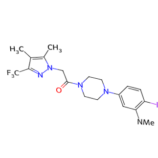 CNc1cc(N2CCN(C(=O)Cn3nc(C(F)(F)F)c(C)c3C)CC2)ccc1I